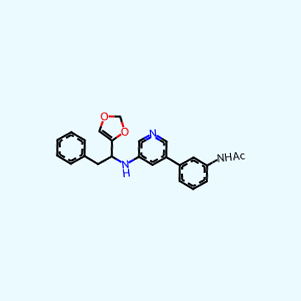 CC(=O)Nc1cccc(-c2cncc(NC(Cc3ccccc3)C3=COCO3)c2)c1